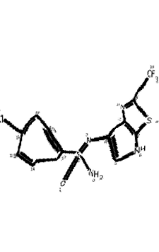 NS(=O)(=Nc1c[nH]c2sc(C(F)(F)F)nc12)c1ccc(Cl)cc1